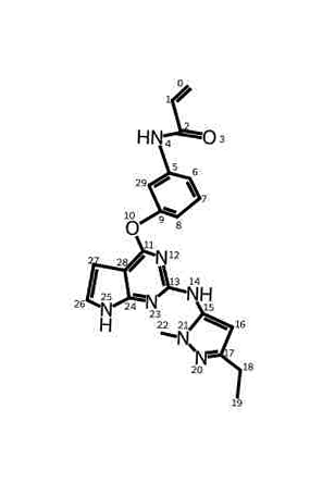 C=CC(=O)Nc1cccc(Oc2nc(Nc3cc(CC)nn3C)nc3[nH]ccc23)c1